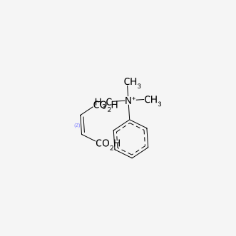 C[N+](C)(C)c1ccccc1.O=C(O)/C=C\C(=O)O